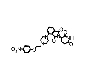 O=C1CCC(N2C(=O)c3cccc(N4CCN(CCOc5ccc([N+](=O)[O-])cc5)CC4)c3C2=O)C(=O)N1